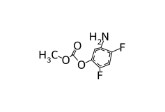 COC(=O)Oc1cc(N)c(F)cc1F